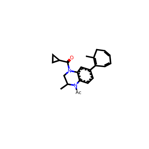 CC(=O)N1c2ccc(C3=C(C)CC=CC=C3)cc2N(C(=O)C2CC2)CC1C